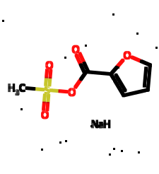 CS(=O)(=O)OC(=O)c1ccco1.[NaH]